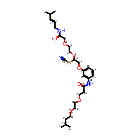 CC(C)/C=C/CNC(=O)COCCOC(COc1cccc(NC(=O)CCOCCOCCC(C)C)c1)SC#N